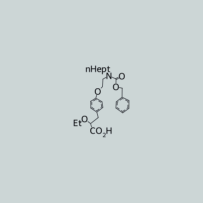 CCCCCCCN(CCOc1ccc(CC(OCC)C(=O)O)cc1)C(=O)OCc1ccccc1